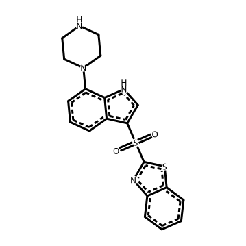 O=S(=O)(c1nc2ccccc2s1)c1c[nH]c2c(N3CCNCC3)cccc12